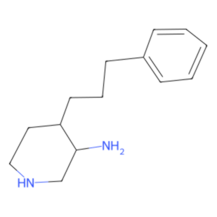 NC1CNCCC1CCCc1ccccc1